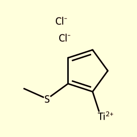 CSC1=[C]([Ti+2])CC=C1.[Cl-].[Cl-]